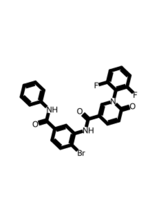 O=C(Nc1ccccc1)c1ccc(Br)c(NC(=O)c2ccc(=O)n(-c3c(F)cccc3F)c2)c1